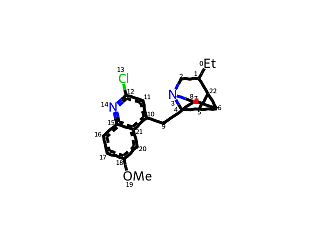 CCC1CN2CC3C(CC2Cc2cc(Cl)nc4ccc(OC)cc24)C13